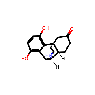 O=C1CC[C@H]2[C@H]3Cc4c(O)ccc(O)c4[C@@]2(CCN3)C1